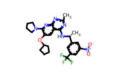 Cc1nc(N[C@H](C)c2cc([N+](=O)[O-])cc(C(F)(F)F)c2)c2cc(OC3CCCC3)c(N3CCCC3)nc2n1